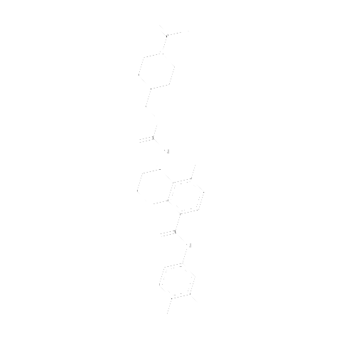 O=C(N[C@H]1CCOc2c(C(=O)Nc3ccc(F)c(Cl)c3)ccc(F)c21)OCC1CCN(C(=O)O)CC1